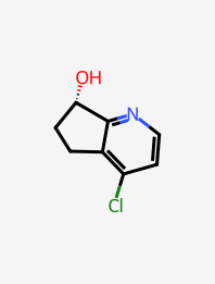 O[C@H]1CCc2c(Cl)ccnc21